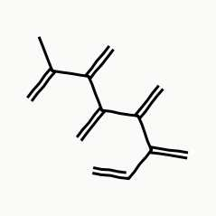 C=CC(=C)C(=C)C(=C)C(=C)C(=C)C